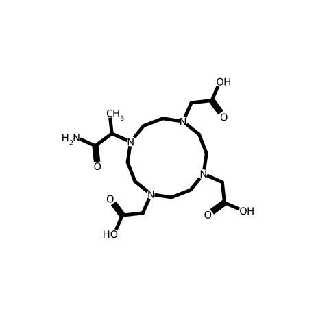 CC(C(N)=O)N1CCN(CC(=O)O)CCN(CC(=O)O)CCN(CC(=O)O)CC1